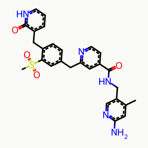 Cc1cc(N)ncc1CNC(=O)c1ccnc(Cc2ccc(Cc3ccc[nH]c3=O)c(S(C)(=O)=O)c2)c1